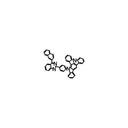 c1ccc2cc(-c3nc(-c4ccc(-n5c6ccccc6c6cc7c8ccccc8n8c9ccccc9c(c65)c78)cc4)nc4ccccc34)ccc2c1